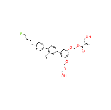 C=C(CO)C(=O)OCOc1cc(OCOCO)cc(-c2ccc(-c3ccc(CCCCF)cc3)c(CC)c2)c1